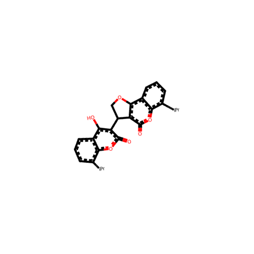 CC(C)c1cccc2c(O)c(C3COc4c3c(=O)oc3c(C(C)C)cccc43)c(=O)oc12